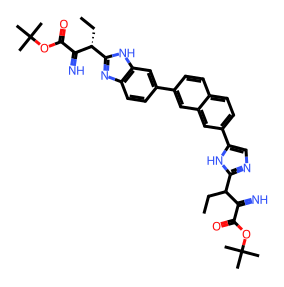 CCC(C(=N)C(=O)OC(C)(C)C)c1ncc(-c2ccc3ccc(-c4ccc5nc([C@@H](CC)C(=N)C(=O)OC(C)(C)C)[nH]c5c4)cc3c2)[nH]1